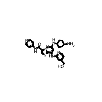 NC1CCC(Nc2cc(Nc3cc(CO)ccn3)c3ncc(C(=O)Nc4ccncc4)n3n2)CC1